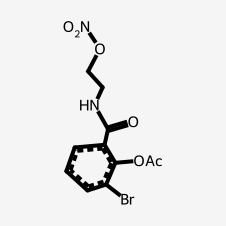 CC(=O)Oc1c(Br)cccc1C(=O)NCCO[N+](=O)[O-]